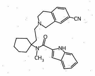 CN(C(=O)c1cc2ccccc2[nH]1)C1(CCN2CCc3ccc(C#N)cc3C2)CCCCC1